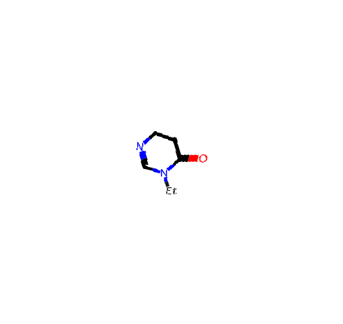 CCN1C=NCCC1=O